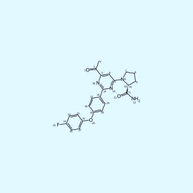 CC(=O)c1cc(N2CCC[C@H]2C(N)=O)nc(-c2ccc(Oc3ccc(F)cc3)cc2)n1